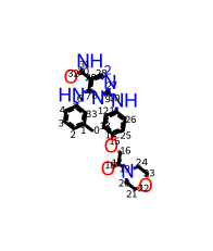 Cc1cccc(Nc2nc(Nc3ccc(OCC(=O)N4CCOCC4)cc3)ncc2C(N)=O)c1